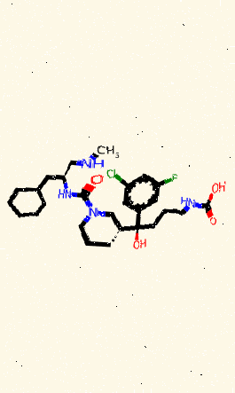 CNC[C@H](CC1CCCCC1)NC(=O)N1CCC[C@@H]([C@@](O)(CCCNC(=O)O)c2cc(F)cc(Cl)c2)C1